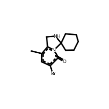 Cc1cc(Br)c(=O)n2c1CNC21CCCCC1